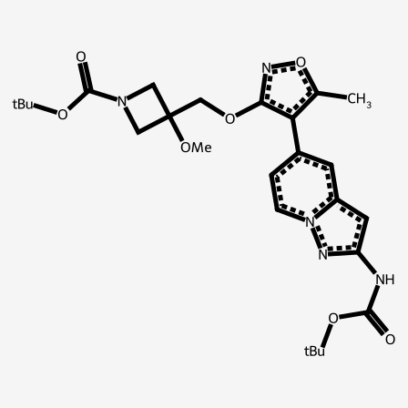 COC1(COc2noc(C)c2-c2ccn3nc(NC(=O)OC(C)(C)C)cc3c2)CN(C(=O)OC(C)(C)C)C1